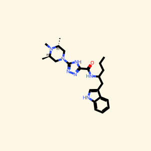 CCCC(Cc1c[nH]c2ccccc12)NC(=O)c1nnc(N2C[C@@H](C)N(C)[C@H](C)C2)[nH]1